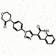 O=C1COCCN1c1ccc(-n2cc(-c3cc4ccccc4[nH]c3=O)nn2)cc1